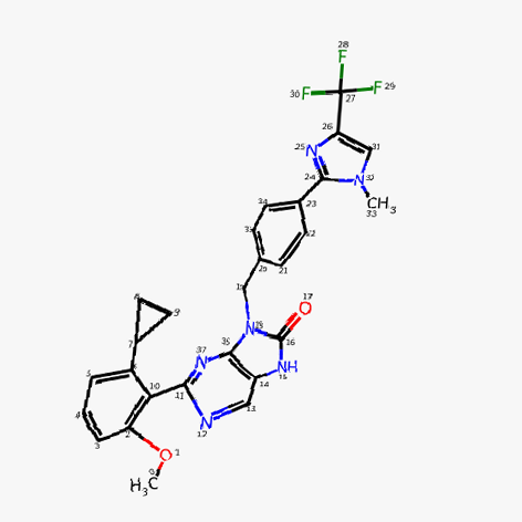 COc1cccc(C2CC2)c1-c1ncc2[nH]c(=O)n(Cc3ccc(-c4nc(C(F)(F)F)cn4C)cc3)c2n1